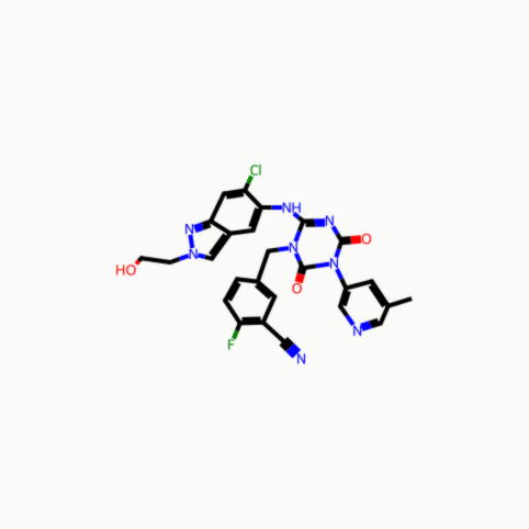 Cc1cncc(-n2c(=O)nc(Nc3cc4cn(CCO)nc4cc3Cl)n(Cc3ccc(F)c(C#N)c3)c2=O)c1